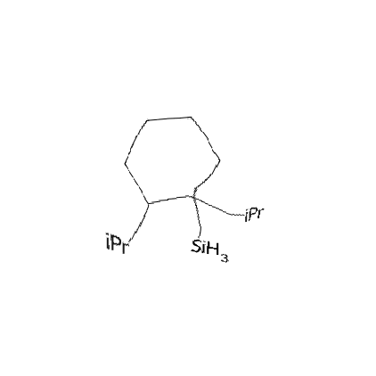 CC(C)C1CCCCC1([SiH3])C(C)C